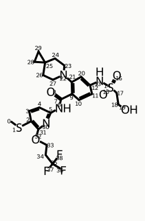 CSc1ccc(NC(=O)c2ccc(NS(=O)(=O)CCO)cc2N2CCC3(CC2)CC3)nc1OCCC(F)(F)F